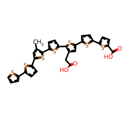 Cc1cc(-c2ccc(-c3cccs3)s2)sc1-c1ccc(-c2sc(-c3ccc(-c4ccc(C(=O)O)s4)s3)cc2CC(=O)O)s1